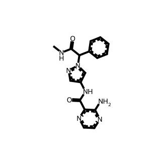 CNC(=O)C(c1ccccc1)n1cc(NC(=O)c2nccnc2N)cn1